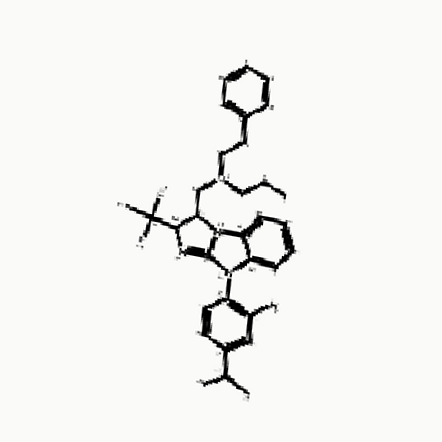 CCCN(CCc1ccccc1)CC1C(C(F)(F)F)N=C2N(c3ccc(C(C)C)cc3Br)c3ccccc3N21